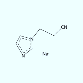 N#CCCn1ccnc1.[Na]